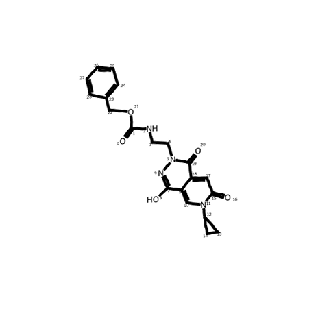 O=C(NCCn1nc(O)c2cn(C3CC3)c(=O)cc2c1=O)OCc1ccccc1